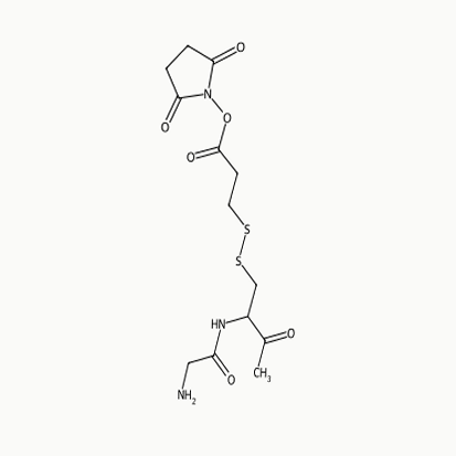 CC(=O)C(CSSCCC(=O)ON1C(=O)CCC1=O)NC(=O)CN